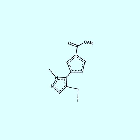 COC(=O)c1cc(-c2c(CI)cnn2C)cs1